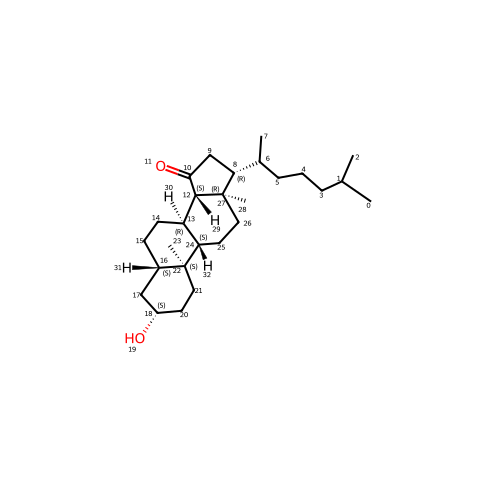 CC(C)CCCC(C)[C@H]1CC(=O)[C@H]2[C@@H]3CC[C@H]4C[C@@H](O)CC[C@]4(C)[C@H]3CC[C@]12C